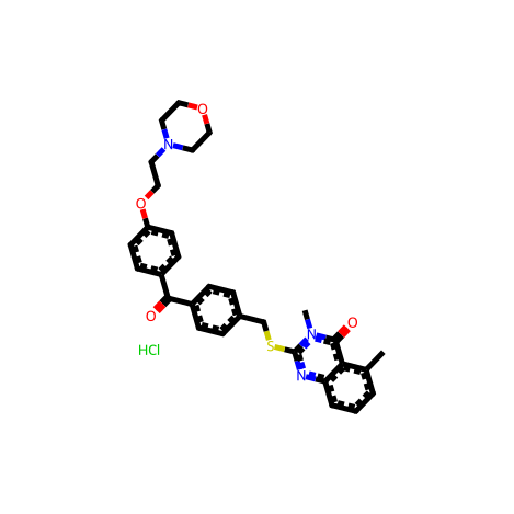 Cc1cccc2nc(SCc3ccc(C(=O)c4ccc(OCCN5CCOCC5)cc4)cc3)n(C)c(=O)c12.Cl